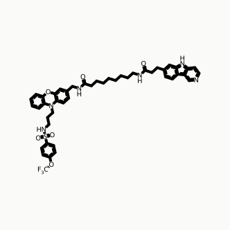 O=C(CCc1ccc2c(c1)[nH]c1ccncc12)NCCCCCCCCC(=O)NCc1ccc2c(c1)Oc1ccccc1N2CCCNS(=O)(=O)c1ccc(OC(F)(F)F)cc1